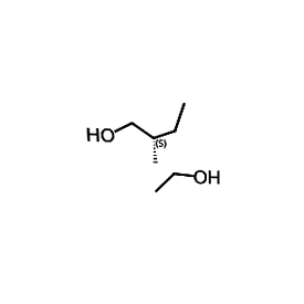 CCO.CC[C@H](C)CO